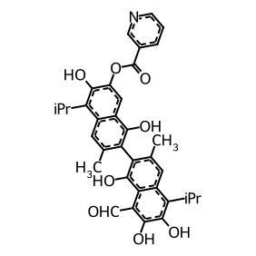 Cc1cc2c(C(C)C)c(O)c(OC(=O)c3cccnc3)cc2c(O)c1-c1c(C)cc2c(C(C)C)c(O)c(O)c(C=O)c2c1O